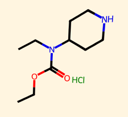 CCOC(=O)N(CC)C1CCNCC1.Cl